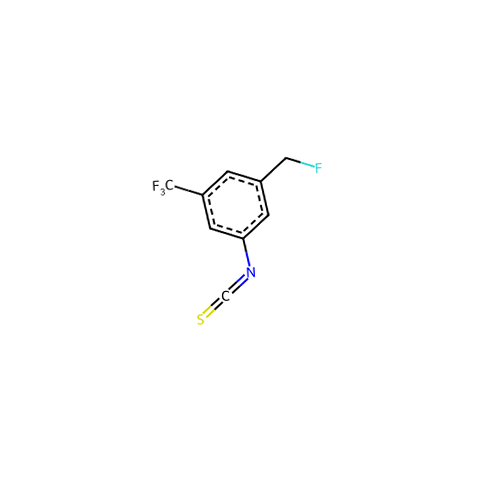 FCc1cc(N=C=S)cc(C(F)(F)F)c1